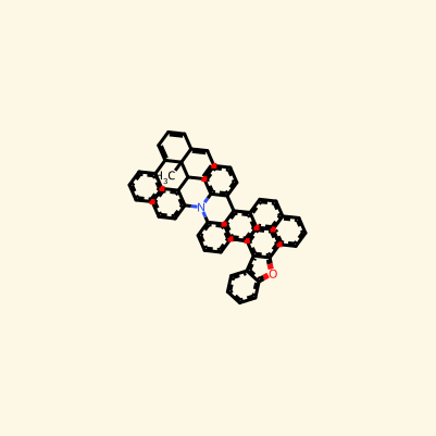 CC12C(=CC=CC1c1ccccc1N(c1cccc(-c3cccc4oc5ccccc5c34)c1)c1ccccc1-c1cccc3c1ccc1ccccc13)C=CC=C2c1ccccc1